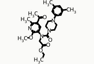 CCOC(=O)CN(C(=O)N1CCN(c2cc(C)cc(C)c2)CC1)c1cc(C(C)=O)c(C)nc1OC